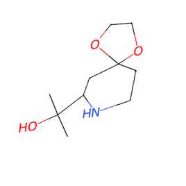 CC(C)(O)C1CC2(CCN1)OCCO2